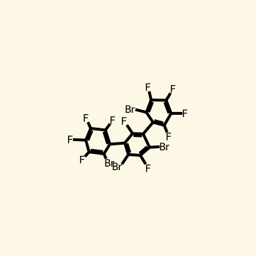 Fc1c(F)c(F)c(-c2c(F)c(-c3c(F)c(F)c(F)c(F)c3Br)c(Br)c(F)c2Br)c(Br)c1F